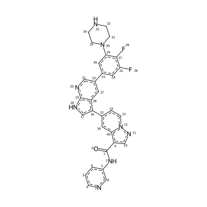 O=C(Nc1cccnc1)c1cnn2ccc(-c3c[nH]c4ncc(-c5cc(F)c(F)c(N6CCNCC6)c5)cc34)cc12